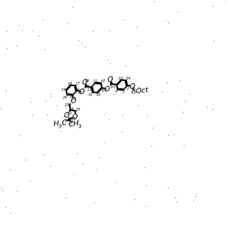 CCCCCCCCOc1ccc(C(=O)Oc2ccc(C(=O)Oc3ccccc3OCC3COC(C)(C)O3)cc2)cc1